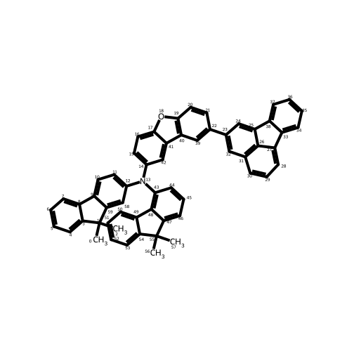 CC1(C)c2ccccc2-c2ccc(N(c3ccc4oc5ccc(-c6cc7c8c(cccc8c6)-c6ccccc6-7)cc5c4c3)c3cccc4c3-c3ccccc3C4(C)C)cc21